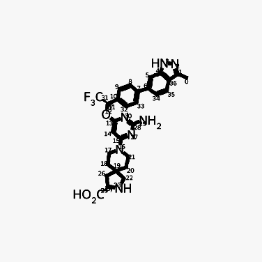 Cc1n[nH]c2cc(-c3ccc([C@@H](Oc4cc(N5CCC6(CC5)CN[C@H](C(=O)O)C6)nc(N)n4)C(F)(F)F)cc3)ccc12